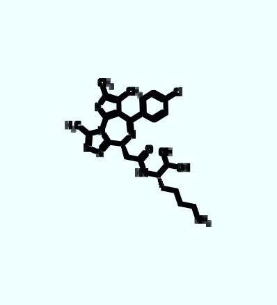 Cc1sc2c(c1C)C(c1ccc(Cl)cc1)=N[C@@H](CC(=O)N[C@@H](CCCCN)C(O)O)c1nnc(C)n1-2